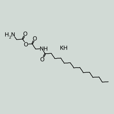 CCCCCCCCCCCCCC(=O)NCC(=O)OC(=O)CN.[KH]